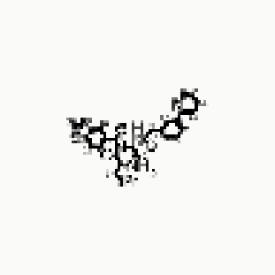 CC(=O)C(NC(=O)Cc1cccc(-c2ccccn2)c1)N(C(=O)c1ccc2ocnc2c1)C(=O)[C@H](N)CC(C)C